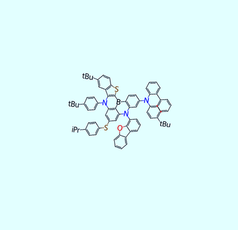 CC(C)c1ccc(Sc2cc3c4c(c2)N(c2cccc5c2oc2ccccc25)c2cc(N(c5ccc(C(C)(C)C)cc5)c5ccccc5-c5ccccc5)ccc2B4c2sc4ccc(C(C)(C)C)cc4c2N3c2ccc(C(C)(C)C)cc2)cc1